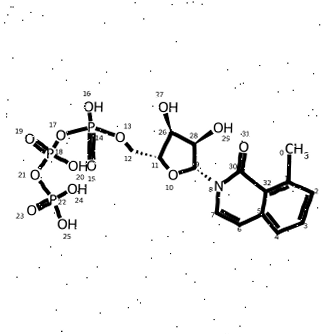 Cc1cccc2ccn([C@@H]3O[C@H](COP(=O)(O)OP(=O)(O)OP(=O)(O)O)[C@@H](O)[C@H]3O)c(=O)c12